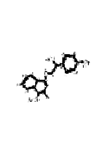 CC(=O)Oc1c(C)cc(OCC(O)c2ccc(C(C)C)cc2)c2ccccc12